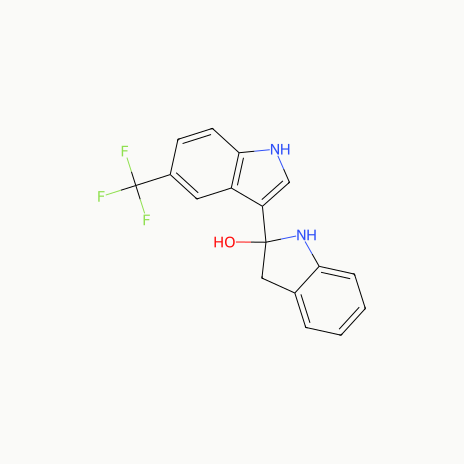 OC1(c2c[nH]c3ccc(C(F)(F)F)cc23)Cc2ccccc2N1